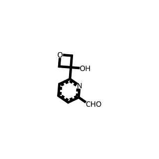 O=Cc1cccc(C2(O)COC2)n1